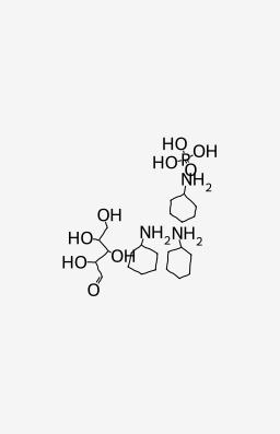 NC1CCCCC1.NC1CCCCC1.NC1CCCCC1.O=CC(O)C(O)C(O)CO.O=P(O)(O)O